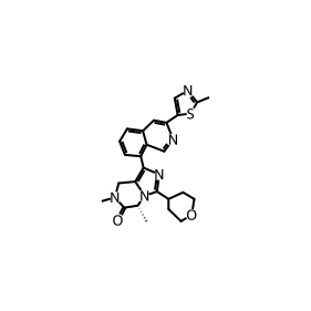 Cc1ncc(-c2cc3cccc(-c4nc(C5CCOCC5)n5c4CN(C)C(=O)[C@H]5C)c3cn2)s1